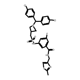 Cc1nc(CNC(=O)c2cc(F)cc(NS(=O)(=O)CC3CN(C(c4ccc(Cl)cc4)c4ccc(Cl)cc4)C3)c2)cs1